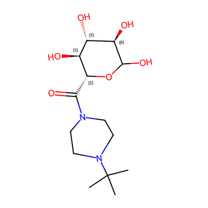 CC(C)(C)N1CCN(C(=O)[C@H]2OC(O)[C@H](O)[C@@H](O)[C@@H]2O)CC1